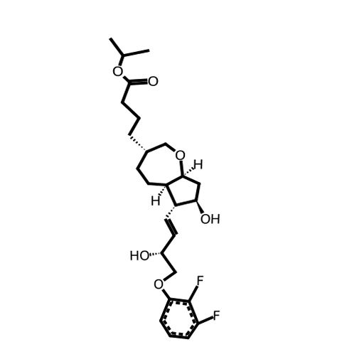 CC(C)OC(=O)CCC[C@H]1CC[C@@H]2[C@@H](/C=C/[C@@H](O)COc3cccc(F)c3F)[C@H](O)C[C@@H]2OC1